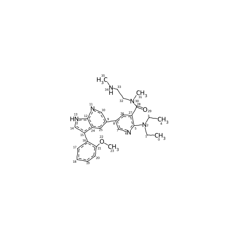 CCN(CC)c1ncc(-c2cnc3[nH]cc(-c4ccccc4OC)c3c2)cc1C(=O)N(C)CCNC